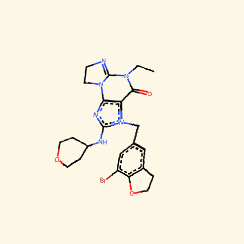 CCN1C(=O)c2c(nc(NC3CCOCC3)n2Cc2cc(Br)c3c(c2)CCO3)N2CCN=C12